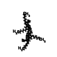 CCCCCCC1=C(c2ccc(C3=C(CCCCCC)C=C(c4cc(CCCCCC)c(Br)s4)S3(=O)=O)s2)S(=O)(=O)C(c2cc(CCCCCC)c(Br)s2)=C1